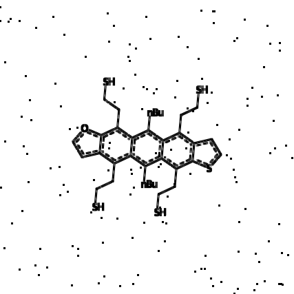 CCCCc1c2c(CCS)c3ccsc3c(CCS)c2c(CCCC)c2c(CCS)c3ccoc3c(CCS)c12